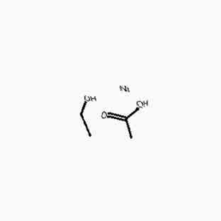 CC(=O)O.CCO.[Ni]